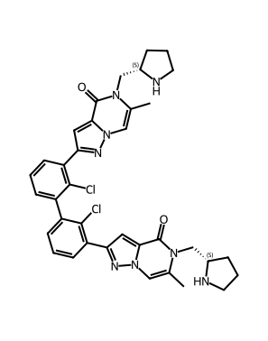 Cc1cn2nc(-c3cccc(-c4cccc(-c5cc6c(=O)n(C[C@@H]7CCCN7)c(C)cn6n5)c4Cl)c3Cl)cc2c(=O)n1C[C@@H]1CCCN1